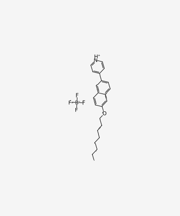 CCCCCCCCOc1ccc2cc(-c3cc[nH+]cc3)ccc2c1.F[B-](F)(F)F